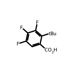 CC(C)(C)c1c(C(=O)O)cc(F)c(F)c1F